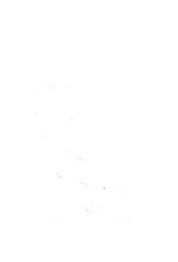 COCCN1CCc2ccc(Nc3ncc(Cl)c(N[C@H]4CCCC[C@@H]4O)n3)cc2CC1